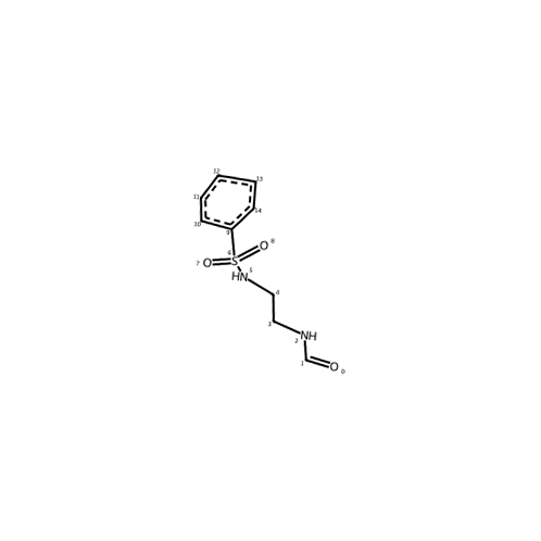 O=CNCCNS(=O)(=O)c1ccccc1